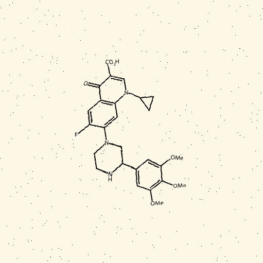 COc1cc(C2CN(c3cc4c(cc3F)c(=O)c(C(=O)O)cn4C3CC3)CCN2)cc(OC)c1OC